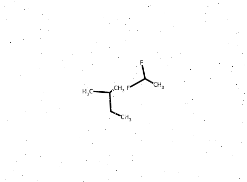 CC(F)F.CCC(C)C